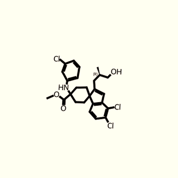 COC(=O)C1(Nc2cccc(Cl)c2)CCC2(CC1)C(C[C@@H](C)CO)=Cc1c2ccc(Cl)c1Cl